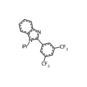 CC(C)n1c(-c2cc(C(F)(F)F)cc(C(F)(F)F)c2)nc2ccccc21